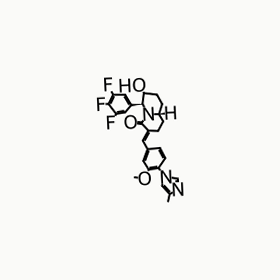 COc1cc(/C=C2\CC[C@H]3CC[C@@H](O)[C@H](c4cc(F)c(F)c(F)c4)N3C2=O)ccc1-n1cnc(C)c1